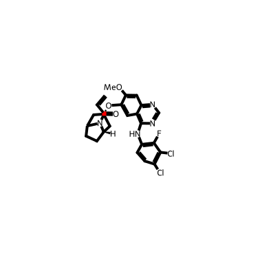 C=CC(=O)N1C2CC[C@H]1C[C@@H](Oc1cc3c(Nc4ccc(Cl)c(Cl)c4F)ncnc3cc1OC)C2